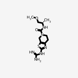 COC[C@H](C)NC(=O)N1CCc2nc(NC(=N)N)sc2C1